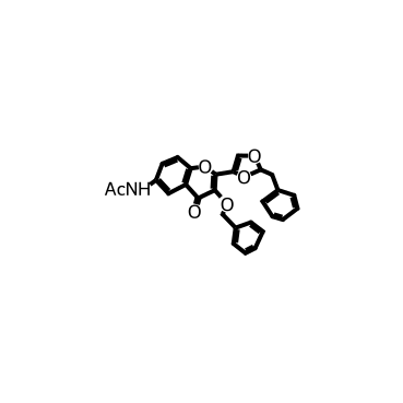 CC(=O)Nc1ccc2oc(C3=COC(Cc4ccccc4)O3)c(OCc3ccccc3)c(=O)c2c1